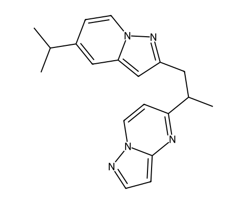 CC(C)c1ccn2nc(CC(C)c3ccn4nccc4n3)cc2c1